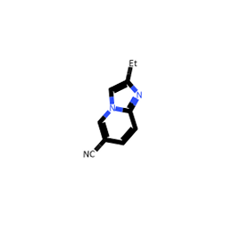 CCc1cn2cc(C#N)ccc2n1